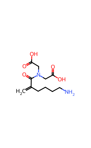 C=C(CCCCN)C(=O)N(CC(=O)O)CC(=O)O